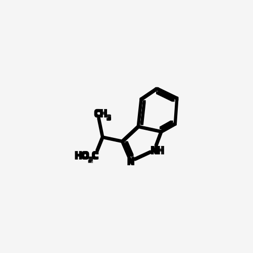 CC(C(=O)O)c1n[nH]c2ccccc12